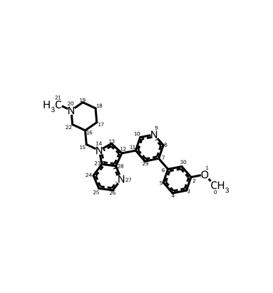 COc1cccc(-c2cncc(-c3cn(CC4CCCN(C)C4)c4cccnc34)c2)c1